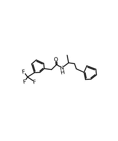 CC(CCc1ccccc1)NC(=O)Cc1cccc(C(F)(F)F)c1